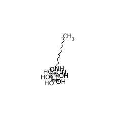 CCCCCCCCCCCCNC(=O)[C@]1(O)[C@H](O)[C@@H](O)[C@H](O)[C@H](O)[C@@H]1O